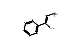 CCCCC(=CC(C)(C)C)c1ccccc1